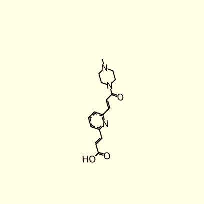 CN1CCN(C(=O)C=Cc2cccc(C=CC(=O)O)n2)CC1